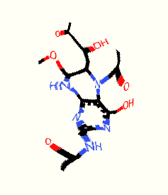 COC1Nc2nc(NC(C)=O)nc(O)c2N(C(C)=O)C1C(O)C(C)=O